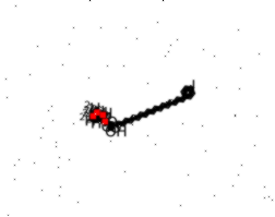 [2H]C([2H])([2H])[N+](CCOP(=O)(O)OCCCCCCCCCCCCCCCCCCc1ccc(I)cc1)(C([2H])([2H])[2H])C([2H])([2H])[2H]